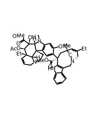 CCC1=C[C@@H]2C[N@](C1)Cc1c([nH]c3ccccc13)[C@@](C(=O)OC)(c1cc3c(cc1OC)N(C)[C@H]1[C@@](O)(C(=O)OC)[C@H](OC(C)=O)[C@@]4(CC)C=CCN5CC[C@]31[C@H]54)C2